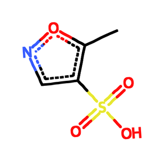 Cc1oncc1S(=O)(=O)O